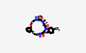 CCC[C@@H]1NCCOc2ccccc2CCCNC(=O)[C@@H](Cc2ccc(C(F)(F)F)cc2)NC(=O)[C@@H](C)N(C)C1=O